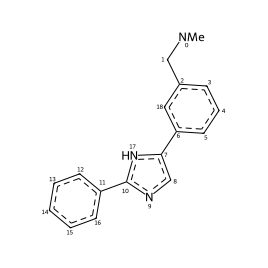 CNCc1cccc(-c2cnc(-c3ccccc3)[nH]2)c1